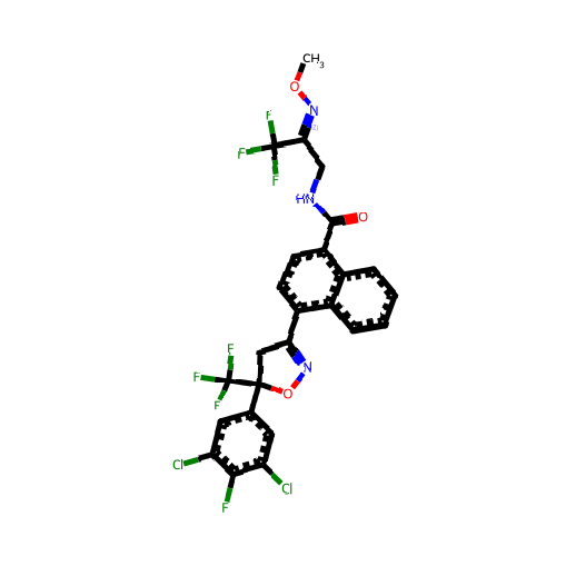 CO/N=C(/CNC(=O)c1ccc(C2=NOC(c3cc(Cl)c(F)c(Cl)c3)(C(F)(F)F)C2)c2ccccc12)C(F)(F)F